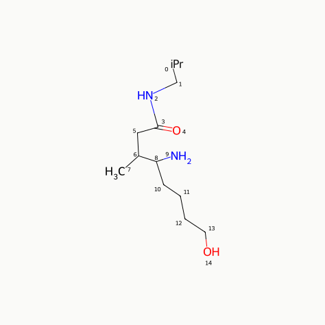 CC(C)CNC(=O)CC(C)C(N)CCCCO